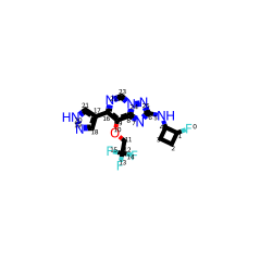 FC1CCC1Nc1nc2c(OCC(F)(F)F)c(-c3cn[nH]c3)ncn2n1